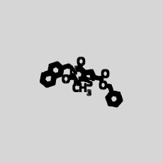 Cn1c(=O)n(Cc2ccc3ccccc3c2)c(=O)c2cc(C(=O)OCc3ccccc3)sc21